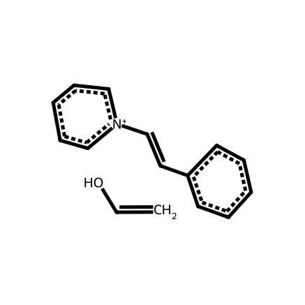 C(=C[n+]1ccccc1)c1ccccc1.C=CO